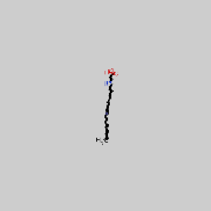 CCCCCCCC/C=C/CCCCCCCCNCCC(=O)O